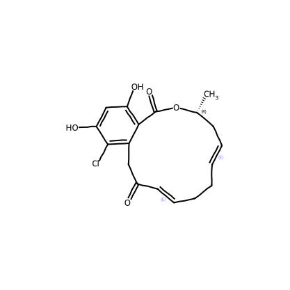 C[C@@H]1C/C=C/CC/C=C/C(=O)Cc2c(Cl)c(O)cc(O)c2C(=O)O1